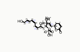 C[C@@](O)(/C=C/[C@H]1CC=CC(=O)O1)[C@@H](C[C@@H](O)\C=C/C=C\C=C\CO)OP(=O)([O-])O.[Na+]